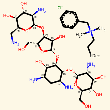 CCCCCCCCCCCC[N+](C)(C)Cc1ccccc1.NC[C@@H]1O[C@H](O[C@H]2[C@@H](O)[C@H](O[C@@H]3[C@@H](O)[C@H](N)C[C@H](N)[C@H]3O[C@H]3O[C@H](CO)[C@@H](O)[C@H](O)[C@H]3N)O[C@@H]2CO)[C@H](N)[C@@H](O)[C@@H]1O.[Cl-]